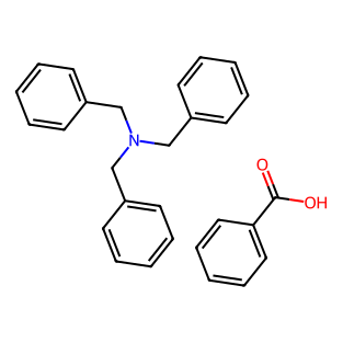 O=C(O)c1ccccc1.c1ccc(CN(Cc2ccccc2)Cc2ccccc2)cc1